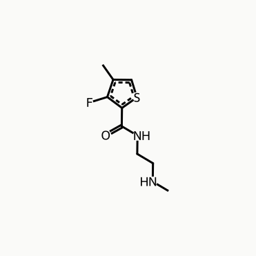 CNCCNC(=O)c1scc(C)c1F